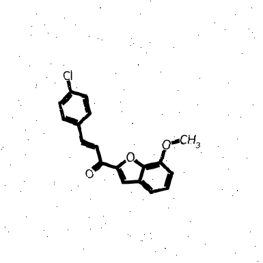 COc1cccc2cc(C(=O)C=Cc3ccc(Cl)cc3)oc12